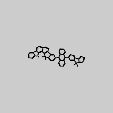 CC1(C)c2ccccc2-c2ccc(-c3c4ccccc4c(-c4ccc5c(c4)-c4ccc6ccc7c8ccccc8sc7c6c4C5(C)C)c4ccccc34)cc21